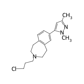 Cc1cc(-c2ccc3c(c2)CCN(CCCCl)CC3)n(C)n1